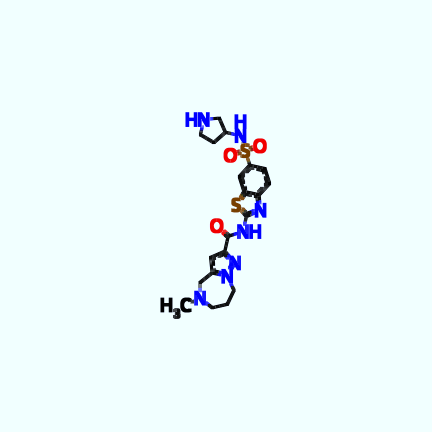 CN1CCCn2nc(C(=O)Nc3nc4ccc(S(=O)(=O)NC5CCNC5)cc4s3)cc2C1